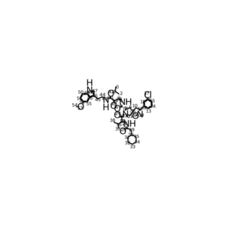 CCC[C@H](NC(=O)[C@@H]1C[C@]2(CC(c3cccc(Cl)c3)=NO2)CN1C(=O)[C@@H](NC(=O)CC1CCCCC1)C(C)C)C(=O)C(=O)NCCc1c[nH]c2ccc(OC)cc12